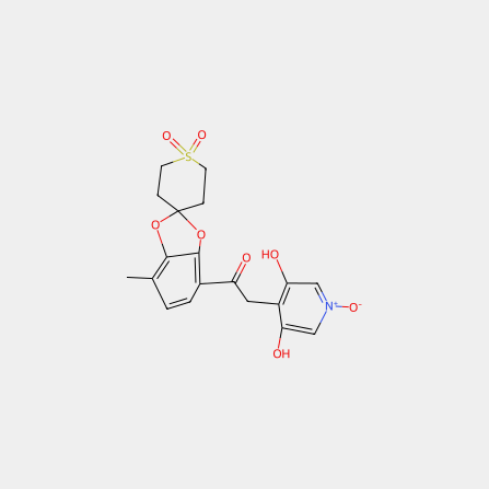 Cc1ccc(C(=O)Cc2c(O)c[n+]([O-])cc2O)c2c1OC1(CCS(=O)(=O)CC1)O2